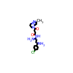 Cc1cc2n(n1)CCCN2C(=O)CCC(=O)N/C(N)=C/C=C(\N)c1ccc(Cl)cc1